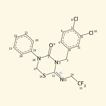 O=C1N(Cc2ccc(Cl)c(Cl)c2)/C(=N\CC(F)(F)F)SCN1c1ccccc1